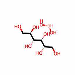 OBO.OC[C@@H](O)[C@@H](O)[C@H](O)[C@@H](O)CO